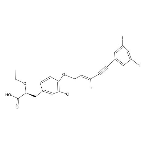 CCO[C@@H](Cc1ccc(OC/C=C(\C)C#Cc2cc(I)cc(I)c2)c(Cl)c1)C(=O)O